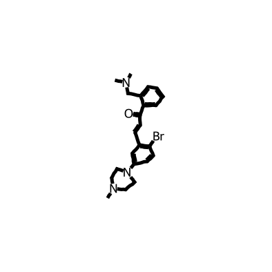 CN(C)Cc1ccccc1C(=O)C=Cc1cc(N2CCN(C)CC2)ccc1Br